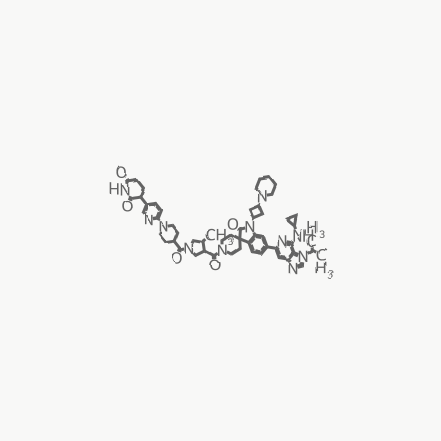 CC1CN(C(=O)C2CCN(c3ccc(C4CCC(=O)NC4=O)cn3)CC2)CC1C(=O)N1CCC2(CC1)C(=O)N([C@H]1C[C@@H](N3CCCCC3)C1)c1cc(-c3cc4ncn(C(C)C)c4c(NC4CC4)n3)ccc12